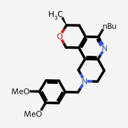 CCCCc1nc2c(c3c1C[C@H](C)OC3)CN(Cc1ccc(OC)c(OC)c1)CC2